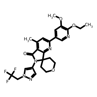 CCOc1ncc(-c2cc(C)c3c(n2)C2(CCOCC2)N(c2cnn(CC(F)(F)F)c2)C3=O)cc1OC